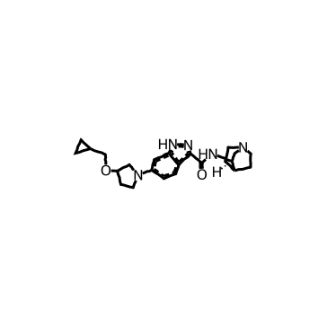 O=C(N[C@H]1CN2CCC1CC2)c1n[nH]c2cc(N3CCC(OCC4CC4)C3)ccc12